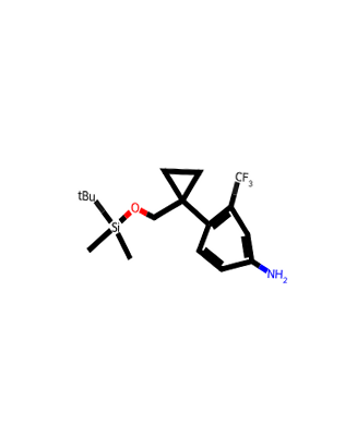 CC(C)(C)[Si](C)(C)OCC1(c2ccc(N)cc2C(F)(F)F)CC1